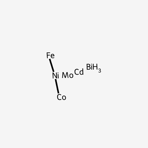 [BiH3].[Cd].[Fe][Ni][Co].[Mo]